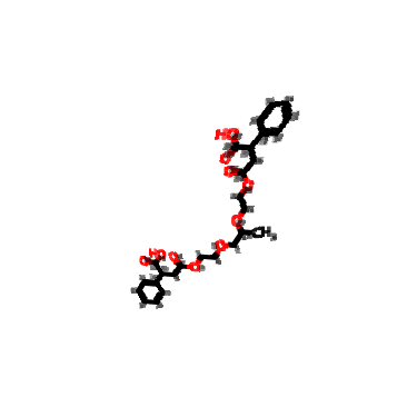 CC(COCCOC(=O)CC(C(=O)O)c1ccccc1)OCCOC(=O)CC(C(=O)O)c1ccccc1